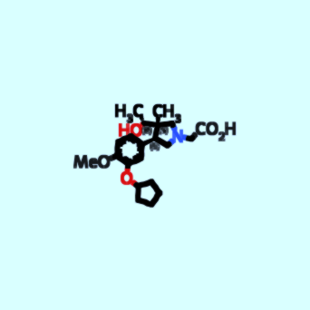 COc1ccc([C@@H]2CN(CC(=O)O)C[C@@]2(C)[C@@H](C)O)cc1OC1CCCC1